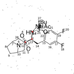 CC(=O)NCCS(=O)(=O)N1C2CCC1CC([C@H](Cc1cc(F)c(F)cc1F)N[S@@+]([O-])C(C)(C)C)C2